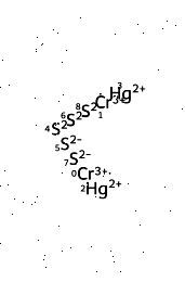 [Cr+3].[Cr+3].[Hg+2].[Hg+2].[S-2].[S-2].[S-2].[S-2].[S-2]